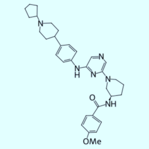 COc1ccc(C(=O)N[C@@H]2CCCN(c3cncc(Nc4ccc(C5CCN(C6CCCC6)CC5)cc4)n3)C2)cc1